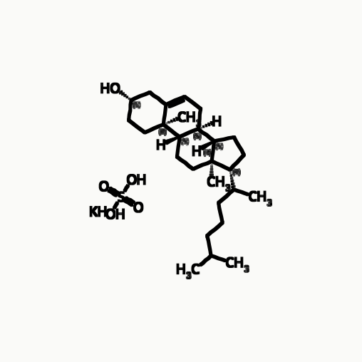 CC(C)CCCC(C)[C@H]1CC[C@H]2[C@@H]3CC=C4C[C@@H](O)CC[C@]4(C)[C@H]3CC[C@]12C.O=S(=O)(O)O.[KH]